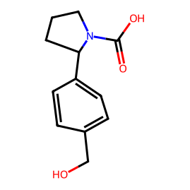 O=C(O)N1CCCC1c1ccc(CO)cc1